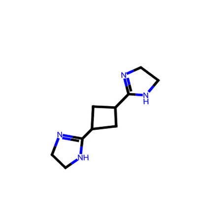 C1CNC(C2CC(C3=NCCN3)C2)=N1